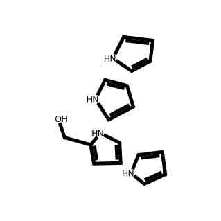 OCc1ccc[nH]1.c1cc[nH]c1.c1cc[nH]c1.c1cc[nH]c1